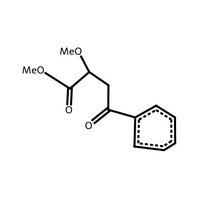 COC(=O)C(CC(=O)c1ccccc1)OC